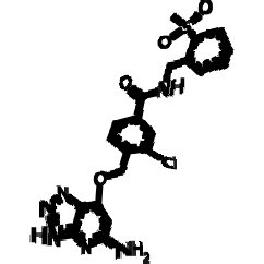 CS(=O)(=O)c1ccccc1CNC(=O)c1ccc(COc2cc(N)nc3[nH]nnc23)c(Cl)c1